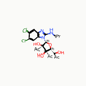 CC(=O)C(O)[C@H]1O[C@@H](n2c(NC(C)C)nc3cc(Cl)c(Cl)cc32)[C@@](O)(C(C)=O)[C@@]1(O)C(C)=O